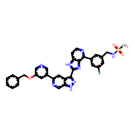 CS(=O)(=O)NCc1cc(F)cc(-c2nccc3[nH]c(-c4n[nH]c5cnc(-c6cncc(OCc7ccccc7)c6)cc45)nc23)c1